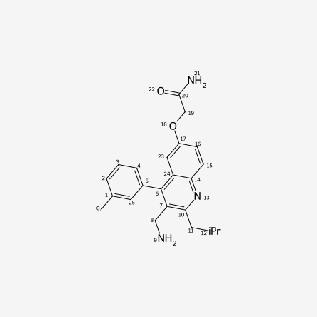 Cc1cccc(-c2c(CN)c(CC(C)C)nc3ccc(OCC(N)=O)cc23)c1